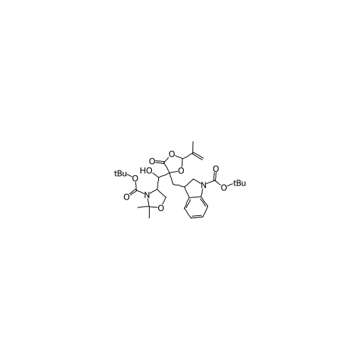 C=C(C)C1OC(=O)C(CC2CN(C(=O)OC(C)(C)C)c3ccccc32)(C(O)C2COC(C)(C)N2C(=O)OC(C)(C)C)O1